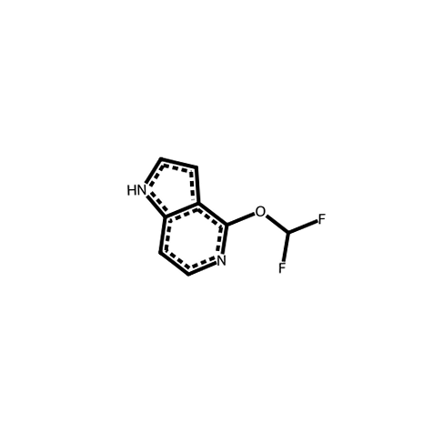 FC(F)Oc1nccc2[nH]ccc12